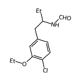 CCOc1cc(CC(CC)NC=O)ccc1Cl